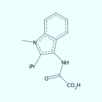 CC(C)c1c(NC(=O)C(=O)O)c2ccccc2n1C